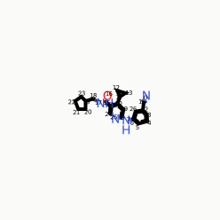 N#Cc1cccc(Nc2cc(C3CC3)c(C(=O)NCC3CCCC3)cn2)c1